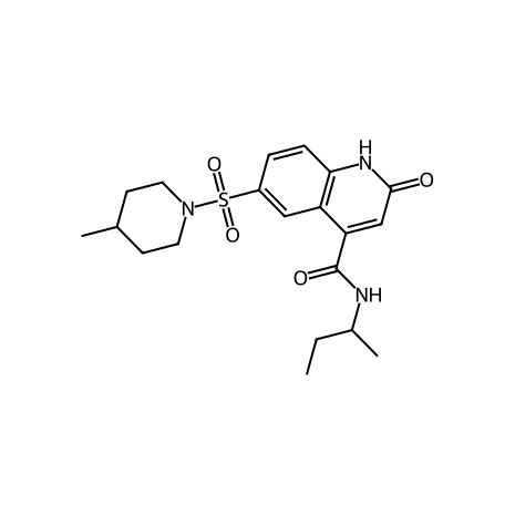 CCC(C)NC(=O)c1cc(=O)[nH]c2ccc(S(=O)(=O)N3CCC(C)CC3)cc12